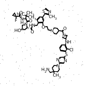 Cc1ncsc1-c1ccc(CNC(=O)[C@@H]2C[C@@H](O)CN2C(=O)[C@@H](NC(=O)C2(F)CC2)C(C)(C)C)c(OCCN2CCC(C(=O)N3CC(Nc4cccc(Sc5cnc(N6CCC(C)(CN)CC6)cn5)c4Cl)C3)CC2)c1